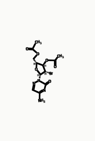 CC(=O)OC[C@H]1O[C@@H](n2ncc(N)nc2=O)[C@@H](Br)[C@@H]1OC(C)=O